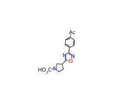 CC(=O)c1ccc(-c2noc(C3CCN(C(=O)O)C3)n2)cc1